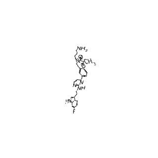 CS(=O)(=O)N(CCCN)Cc1cccc(-c2ccnc(NCCC3=CNC4C=C(F)C=CC34)n2)c1